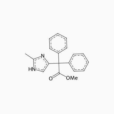 COC(=O)C(c1ccccc1)(c1ccccc1)c1c[nH]c(C)n1